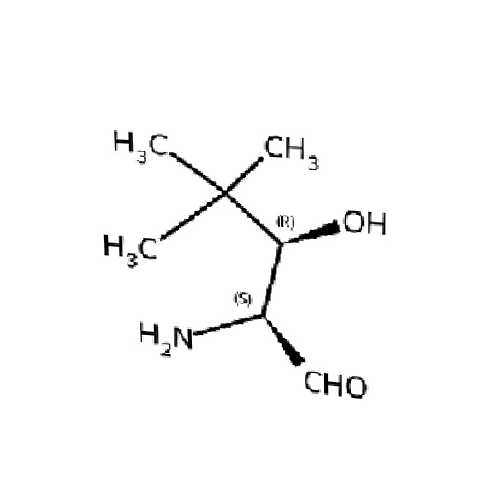 CC(C)(C)[C@@H](O)[C@H](N)C=O